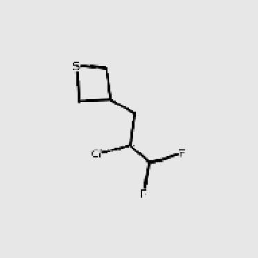 FC(F)[C](Cl)CC1CSC1